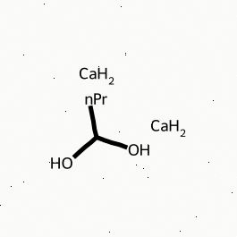 CCCC(O)O.[CaH2].[CaH2]